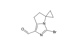 O=Cc1nc(Br)n2c1CCC21CC1